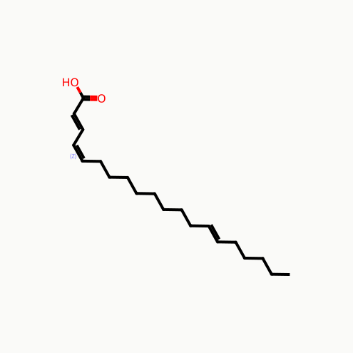 CCCCCC=CCCCCCCCC/C=C\C=CC(=O)O